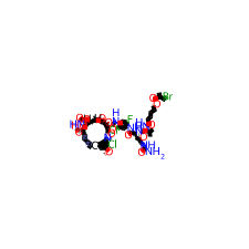 C=C(CBr)C(=O)OCCCCCC(=O)N[C@H](C(=O)N[C@@H](CCCNC(N)=O)C(=O)Nc1cc(Cl)c(NC(=O)O[C@H]2CC(=O)N(C)c3cc(cc(OC)c3Cl)C/C(C)=C/C=C/[C@@H](OC)[C@@]3(O)C[C@H](OC(=O)N3)[C@@H](C)[C@@H]3O[C@@]23C)cc1F)C(C)C